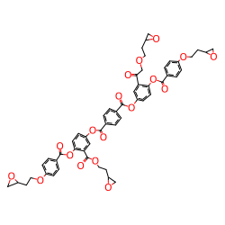 O=C(Oc1ccc(OC(=O)c2ccc(OCCC3CO3)cc2)c(C(=O)COCCC2CO2)c1)c1ccc(C(=O)Oc2ccc(OC(=O)c3ccc(OCCC4CO4)cc3)c(C(=O)OCCC3CO3)c2)cc1